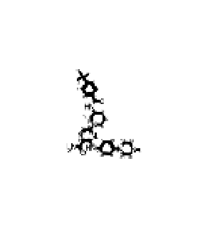 C[C@@H]1C(NC(=O)c2ccc(C(C)(C)C)cc2)CCCN1c1cnc(C(N)=O)c(Nc2ccc(N3CCN(C)CC3)cc2)n1